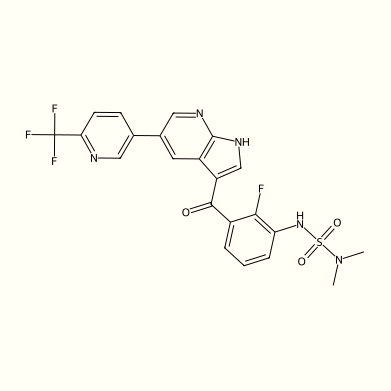 CN(C)S(=O)(=O)Nc1cccc(C(=O)c2c[nH]c3ncc(-c4ccc(C(F)(F)F)nc4)cc23)c1F